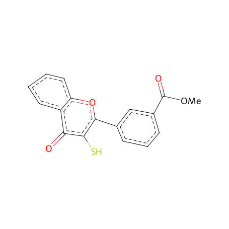 COC(=O)c1cccc(-c2oc3ccccc3c(=O)c2S)c1